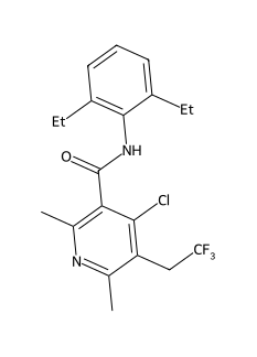 CCc1cccc(CC)c1NC(=O)c1c(C)nc(C)c(CC(F)(F)F)c1Cl